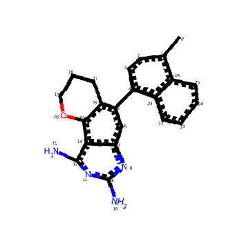 Cc1ccc(-c2cc3nc(N)nc(N)c3c3c2CCCO3)c2ccccc12